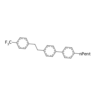 CCCCCc1ccc(-c2ccc(CCc3ccc(C(F)(F)F)cc3)cc2)cc1